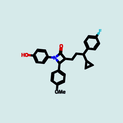 COc1ccc(C2C(CCC(c3ccc(F)cc3)C3CC3)C(=O)N2c2ccc(O)cc2)cc1